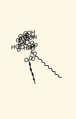 CC#CC#CC#CC#CC(=O)OC[C@H](COP(=O)(O)OC1C(O)[C@@H](OP(=O)(O)O)C(OP(=O)(O)O)[C@@H](OP(=O)(O)O)[C@H]1O)OC(=O)CCCCCCCCCCCCCCC